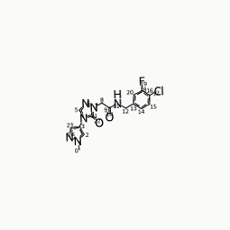 Cn1cc(-n2cnn(CC(=O)NCc3ccc(Cl)c(F)c3)c2=O)cn1